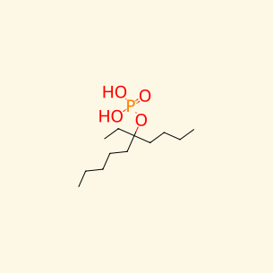 CCCCCC(CC)(CCCC)OP(=O)(O)O